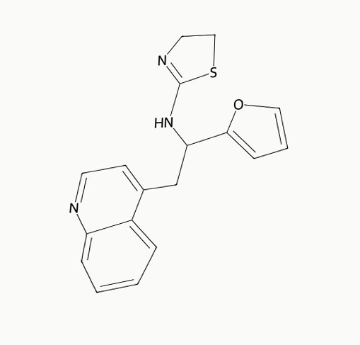 c1coc(C(Cc2ccnc3ccccc23)NC2=NCCS2)c1